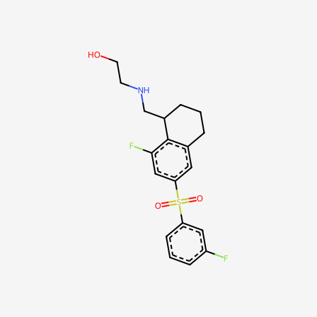 O=S(=O)(c1cccc(F)c1)c1cc(F)c2c(c1)CCCC2CNCCO